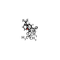 CC(C)(C)OC(=O)N1CCC2(c3ccc([N+](=O)[O-])cc3)C(C1)C2(F)F